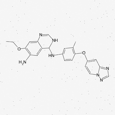 CCOc1cc2c(cc1N)C(Nc1ccc(Oc3ccn4ncnc4c3)c(C)c1)NC=N2